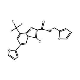 O=C(NCc1cccs1)c1nc2c(C(F)(F)F)cc(-c3ccco3)cn2c1Cl